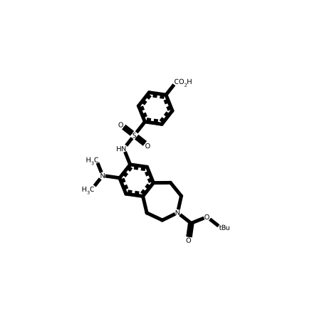 CN(C)c1cc2c(cc1NS(=O)(=O)c1ccc(C(=O)O)cc1)CCN(C(=O)OC(C)(C)C)CC2